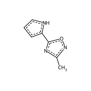 Cc1noc(-c2ccc[nH]2)n1